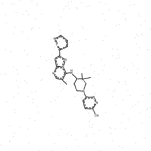 Cc1cnc2cc(-c3cccnc3)nn2c1NC1CCN(c2ccc(C#N)nn2)CC1(C)C